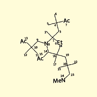 CCC(C)(CC(C)(C)C(C)=O)N(CC(C)(C)C(C)=O)C(C(C)=O)C(C)(C)CC(C)(C)CNC